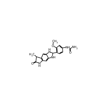 COc1cc(NC(N)=O)ccc1C1Nc2cc3c(cc2N1)C(C)C(=O)N3